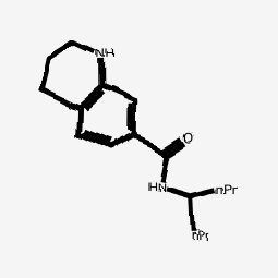 CCCC(CCC)NC(=O)c1ccc2c(c1)NCCC2